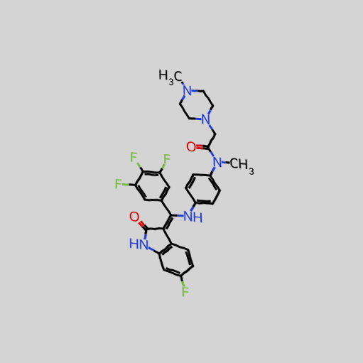 CN1CCN(CC(=O)N(C)c2ccc(NC(=C3C(=O)Nc4cc(F)ccc43)c3cc(F)c(F)c(F)c3)cc2)CC1